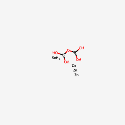 OB(O)OB(O)O.[SnH4].[Zn].[Zn].[Zn]